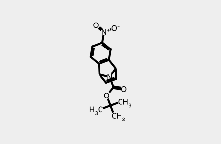 CC(C)(C)OC(=O)N1C2C=CC1c1cc([N+](=O)[O-])ccc12